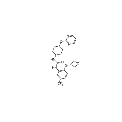 O=C(Nc1cc(C(F)(F)F)ccc1OC1COC1)NC1CCC(Oc2ncccn2)CC1